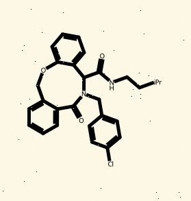 CC(C)CCNC(=O)C1c2ccccc2OCc2ccccc2C(=O)N1Cc1ccc(Cl)cc1